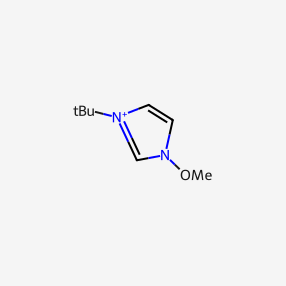 COn1cc[n+](C(C)(C)C)c1